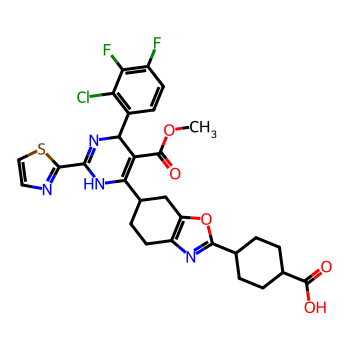 COC(=O)C1=C(C2CCc3nc(C4CCC(C(=O)O)CC4)oc3C2)NC(c2nccs2)=NC1c1ccc(F)c(F)c1Cl